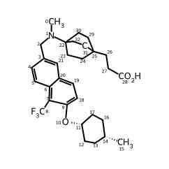 CN(Cc1ccc2c(C(F)(F)F)c(O[C@H]3CC[C@@H](C)CC3)ccc2c1)C12CCC(CCC(=O)O)(CC1)CC2